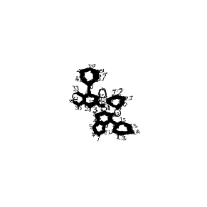 C[Si]12c3cc4ccccc4c(-c4ccccc4)c3Oc3cccc(c31)Oc1c2cc2ccccc2c1-c1ccccc1